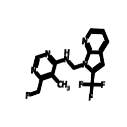 Cc1c(CF)ncnc1NCn1c(C(F)(F)F)cc2cccnc21